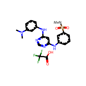 CNS(=O)(=O)c1cccc(Nc2cc(Nc3cccc(N(C)C)c3)ncn2)c1.O=C(O)C(F)(F)F